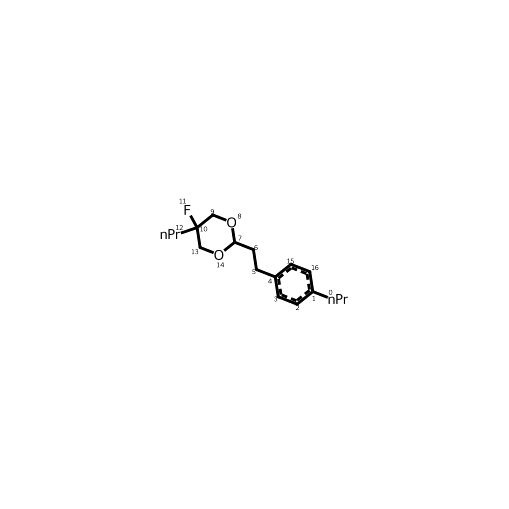 CCCc1ccc(CCC2OCC(F)(CCC)CO2)cc1